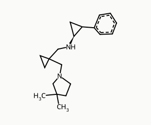 CC1(C)CCN(CC2(CN[C@H]3CC3c3ccccc3)CC2)C1